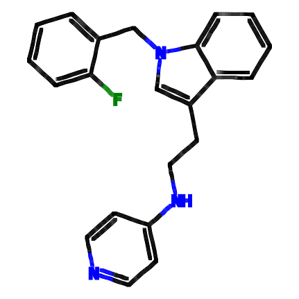 Fc1ccccc1Cn1cc(CCNc2ccncc2)c2ccccc21